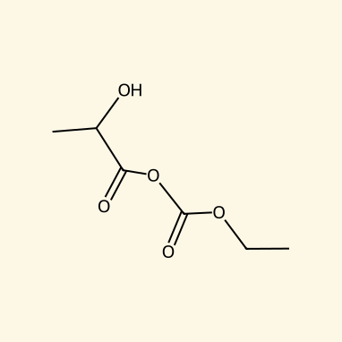 CCOC(=O)OC(=O)C(C)O